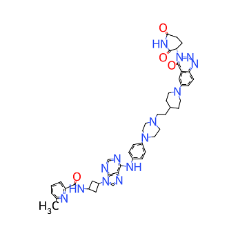 Cc1cccc(C(=O)NC2CC(n3cnc4c(Nc5ccc(N6CCN(CCC7CCN(c8ccc9nnn([C@H]%10CCC(=O)NC%10=O)c(=O)c9c8)CC7)CC6)cc5)ncnc43)C2)n1